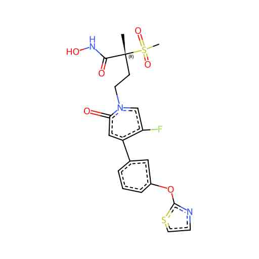 C[C@@](CCn1cc(F)c(-c2cccc(Oc3nccs3)c2)cc1=O)(C(=O)NO)S(C)(=O)=O